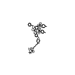 Cc1ccc(S(=O)(=O)Oc2cc(OCc3ccccc3)c(C(=O)N3Cc4ccc(CN5CCN(CCCCCNC(=O)OC(C)(C)C)CC5)cc4C3)c(OS(=O)(=O)c3ccc(C)cc3)c2)cc1